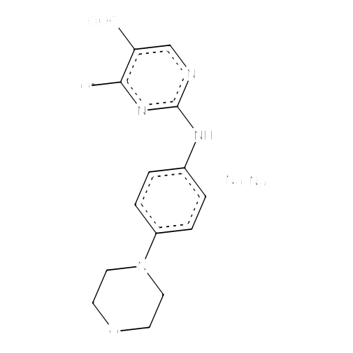 O=C([O-])c1cnc(Nc2ccc(N3CCOCC3)cc2)nc1[O-].[Na+].[Na+]